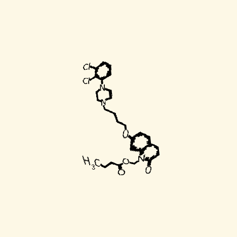 CCCC(=O)OCn1c(=O)ccc2ccc(OCCCCN3CCN(c4cccc(Cl)c4Cl)CC3)cc21